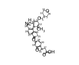 Cc1cc(OCC2CCOCC2)cc(C)c1-c1c(C#N)ccc2c1CC[C@H]2Oc1ccc2c(c1)OCC2CC(=O)O